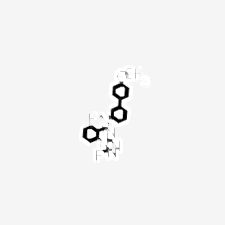 CN(c1cccc(-c2ccc(OC(F)(F)F)cc2)c1)c1nc2nnc(F)n2c2cccc(F)c12